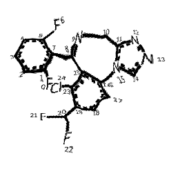 Fc1cccc(F)c1C1=NCc2nncn2-c2ccc(C(F)F)c(Cl)c21